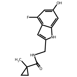 CC1(C(=O)NCc2cc3c(F)cc(O)cc3[nH]2)CC1